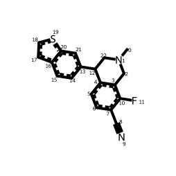 CN1Cc2c(ccc(C#N)c2F)C(c2ccc3ccsc3c2)C1